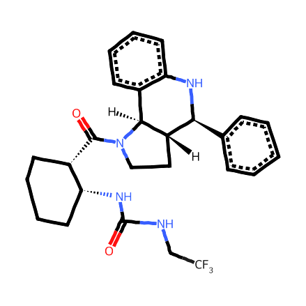 O=C(NCC(F)(F)F)N[C@@H]1CCCC[C@@H]1C(=O)N1CC[C@H]2[C@H](c3ccccc3)Nc3ccccc3[C@@H]21